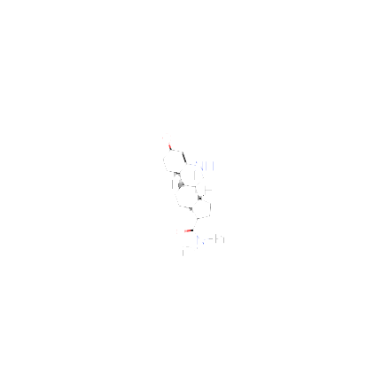 CC(C)N(C(=O)C1CC[C@H]2[C@@H]3CNC4=CC(=O)CC[C@]4(C)[C@@H]3CC[C@]12C)C(C)C